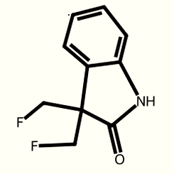 O=C1Nc2cc[c]cc2C1(CF)CF